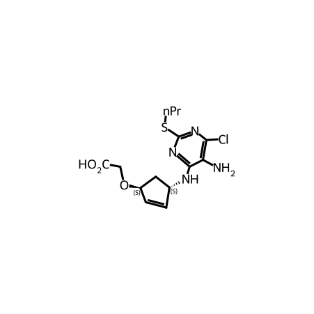 CCCSc1nc(Cl)c(N)c(N[C@@H]2C=C[C@@H](OCC(=O)O)C2)n1